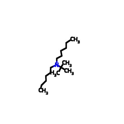 CCCCCCN(CCCCCC)C(C)(C)C